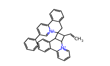 C=CC1C2C(c3ccccc3-c3cccc[n+]32)C12Cc1ccccc1-c1ccc(-c3ccccc3)c[n+]12